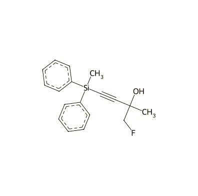 CC(O)(C#C[Si](C)(c1ccccc1)c1ccccc1)CF